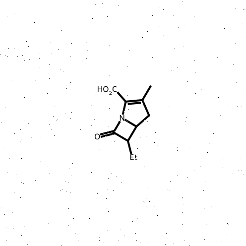 CCC1C(=O)N2C(C(=O)O)=C(C)CC12